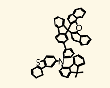 CC1(C)c2ccccc2-c2c(N(c3cccc(-c4ccc5c(c4)C4(c6ccccc6-5)c5ccc6ccccc6c5Oc5c4ccc4ccccc54)c3)c3ccc4sc5c(c4c3)CCC=C5)cccc21